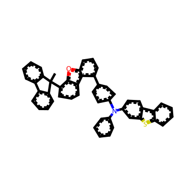 CC1(c2cccc3c2oc2cccc(-c4ccc(N(c5ccccc5)c5ccc6c(c5)sc5ccccc56)cc4)c23)c2ccccc2-c2ccccc21